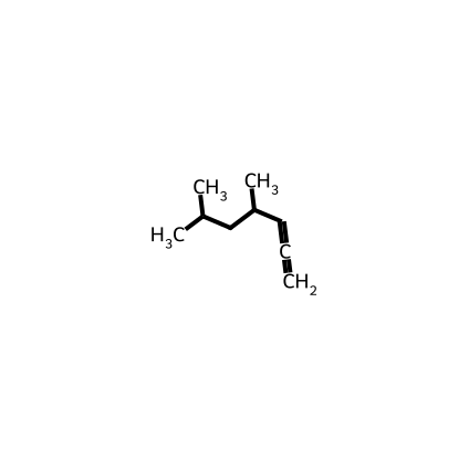 C=C=CC(C)CC(C)C